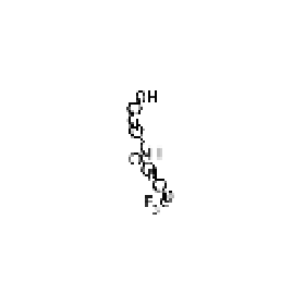 O=C(NCCC1CCN(Cc2ccc(O)cc2)CC1)C1CCN(c2ccc(OC(F)(F)F)cc2)CC1